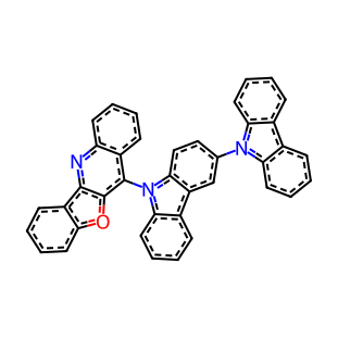 c1ccc2c(-n3c4ccccc4c4cc(-n5c6ccccc6c6ccccc65)ccc43)c3oc4ccccc4c3nc2c1